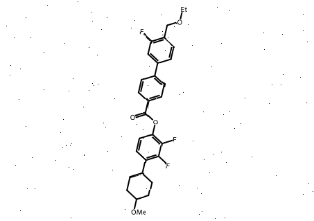 CCOCc1ccc(-c2ccc(C(=O)Oc3ccc(C4CCC(OC)CC4)c(F)c3F)cc2)cc1F